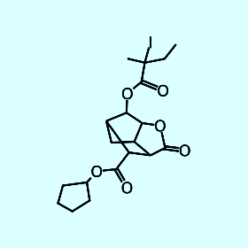 CCC(C)(I)C(=O)OC1C2CC3C1OC(=O)C3C2C(=O)OC1CCCC1